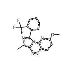 COc1ccc2nnc3c(C)nc(-c4ccccc4C(F)(F)F)n3c2n1